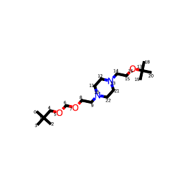 CC(C)(C)COCOCCN1CCN(CCOC(C)(C)C)CC1